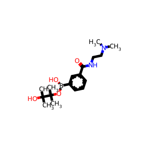 CN(C)CCNC(=O)c1cccc(B(O)OC(C)(C)C(C)(C)O)c1